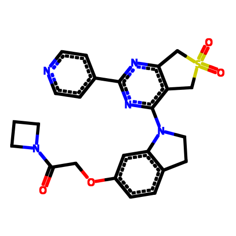 O=C(COc1ccc2c(c1)N(c1nc(-c3ccncc3)nc3c1CS(=O)(=O)C3)CC2)N1CCC1